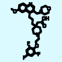 COc1ccc2ncc(CN3CCOCC3)c(CCCC3(CC(=O)O)CCN(CCOc4c(F)cc(F)cc4F)CC3)c2c1